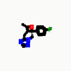 C[C@H]1O[C@@](Cn2cncn2)(c2ccc(F)cc2)[C@H]1C